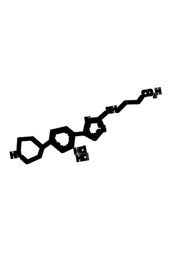 Cl.Cl.O=C(O)CCCNc1nc(-c2ccc(C3CCNCC3)cc2)cs1